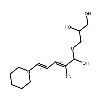 N#C/C(=C\C=C\N1CCCCC1)C(O)OCC(O)CO